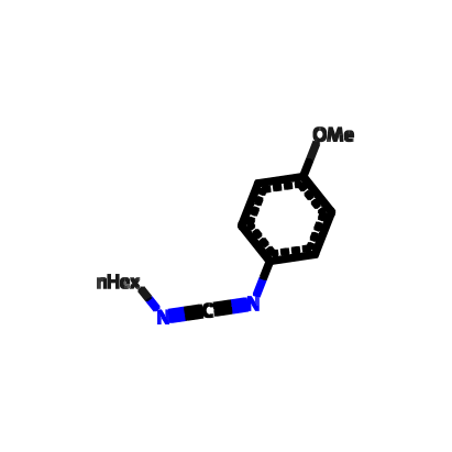 CCCCCCN=C=Nc1ccc(OC)cc1